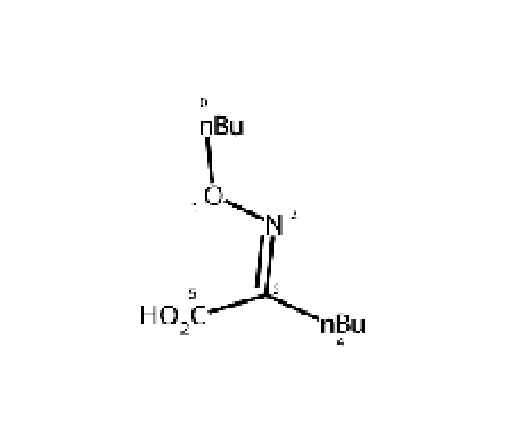 CCCCO/N=C(/CCCC)C(=O)O